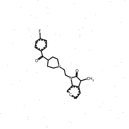 CC1C(=O)N(CCN2CCC(C(=O)c3ccc(F)cc3)CC2)c2ccccc21